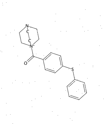 O=C(c1ccc(Sc2ccccc2)cc1)[N+]12CCN(CC1)CC2